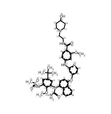 COc1cc(Nc2cc(Oc3ccc(N(C(N)=O)c4cc(C(C)(C)C)cc(NS(C)(=O)=O)c4OC)c4ccccc34)ccn2)ccc1C(=O)NCCN1CCC(O)CC1